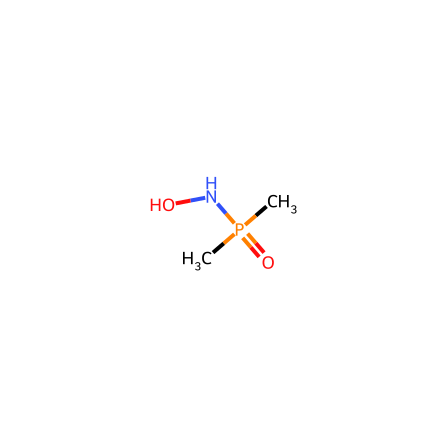 CP(C)(=O)NO